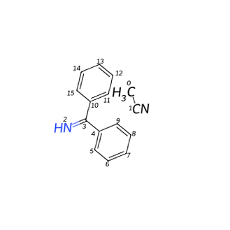 CC#N.N=C(c1ccccc1)c1ccccc1